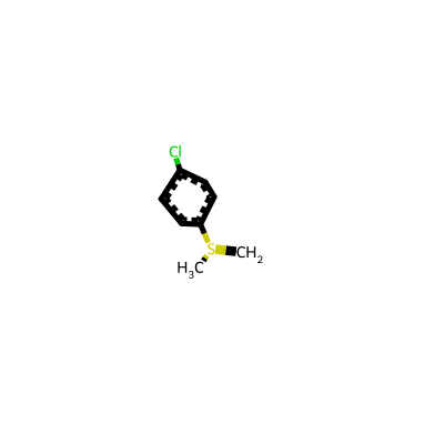 C=S(C)c1ccc(Cl)cc1